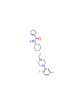 Cc1ccc(F)c(N2CCN(CC[C@H]3CC[C@H](NC(=O)C4=CCCC4)CC3)CC2)c1